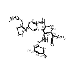 COCC1CCCN1c1ccc(Nc2cc(NCc3cc(F)cc(F)c3)c(C(N)=O)cn2)cc1